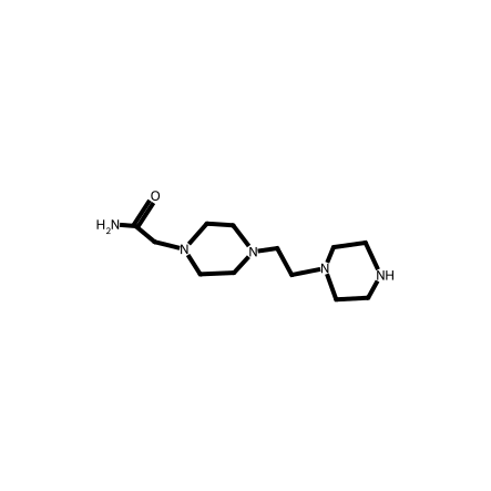 NC(=O)CN1CCN(CCN2CCNCC2)CC1